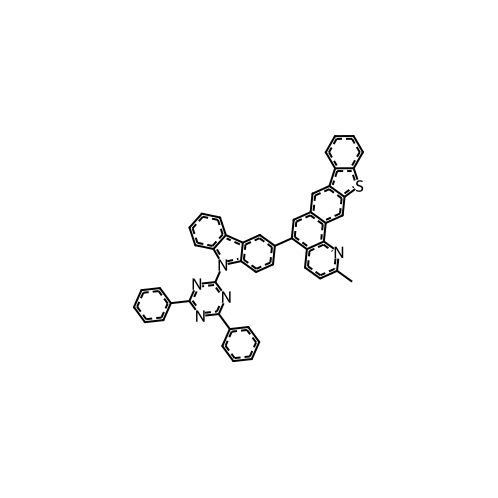 Cc1ccc2c(-c3ccc4c(c3)c3ccccc3n4-c3nc(-c4ccccc4)nc(-c4ccccc4)n3)cc3cc4c(cc3c2n1)sc1ccccc14